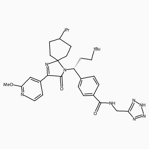 COc1cc(C2=NC3(CCC(C(C)C)CC3)N([C@H](CCC(C)(C)C)c3ccc(C(=O)NCc4nn[nH]n4)cc3)C2=O)ccn1